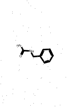 [CH2]CCC(=O)NCc1cc[c]cc1